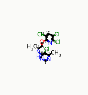 Cc1ncnc(N[C@@H](C)COc2nc(Cl)c(Cl)cc2Cl)c1Cl